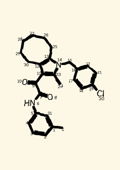 Cc1cccc(NC(=O)C(=O)c2c3c(n(Cc4ccc(Cl)cc4)c2C)CCCCCC3)c1